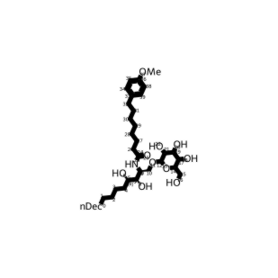 CCCCCCCCCCCCCC[C@@H](O)[C@@H](O)[C@H](COC1OC(CO)C(O)C(O)C1O)NC(=O)CCCCCCCc1ccc(OC)cc1